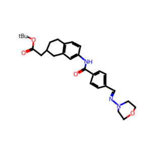 CC(C)(C)OC(=O)CC1CCc2ccc(NC(=O)c3ccc(C=NN4CCOCC4)cc3)cc2C1